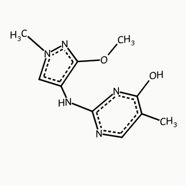 COc1nn(C)cc1Nc1ncc(C)c(O)n1